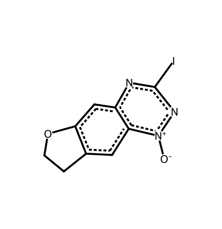 [O-][n+]1nc(I)nc2cc3c(cc21)CCO3